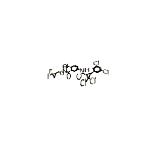 O=C(NOCC1CC1(F)F)c1cc(NC(=O)C2C(c3cc(Cl)cc(Cl)c3)C2(Cl)Cl)ccc1Cl